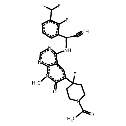 C#C[C@@H](Nc1ncnc2c1cc(C1(F)CCN(C(C)=O)CC1)c(=O)n2C)c1cccc(C(F)F)c1F